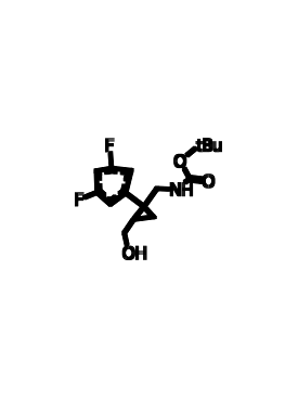 CC(C)(C)OC(=O)NCC1(c2cc(F)cc(F)c2)CC1CO